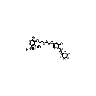 CCCc1c(NCC)ccc(C(C)=O)c1OCCCCCOC1=COC(COC2CCCCO2)C(=O)C1